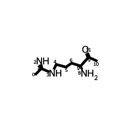 CC(=N)NCCC[C@H](N)C(C)=O